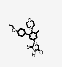 CCOc1ccc(-c2cc(N3CC(=O)NC3=S)cc(C)c2N2CCOCC2)cc1